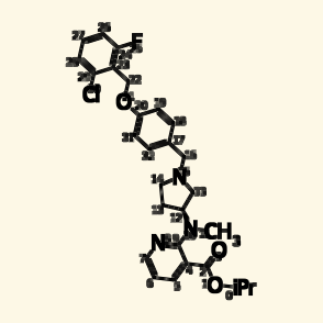 CC(C)OC(=O)c1cccnc1N(C)[C@H]1CCN(Cc2ccc(OCc3c(F)cccc3Cl)cc2)C1